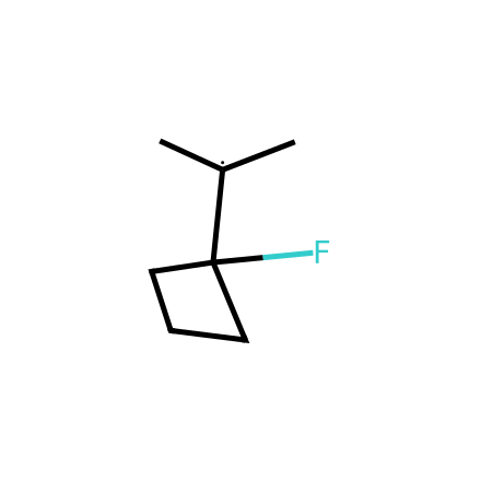 C[C](C)C1(F)CCC1